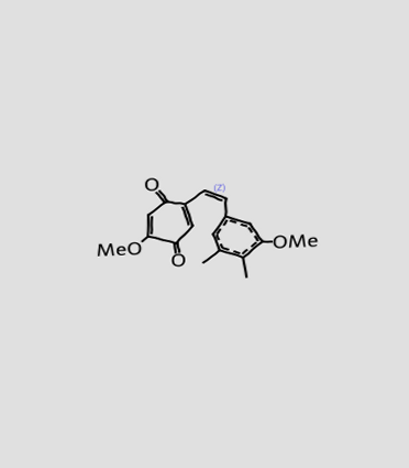 COC1=CC(=O)C(/C=C\c2cc(C)c(C)c(OC)c2)=CC1=O